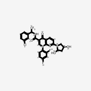 O=C(NC(c1cccc(Cl)c1)C(F)(F)F)c1cn(-c2ccc(F)cc2F)c2nc(N3C[C@@H](O)CC3O)ccc2c1=O